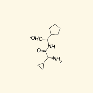 N[C@H](C(=O)N[C@H]([C]=O)C1CCCC1)C1CC1